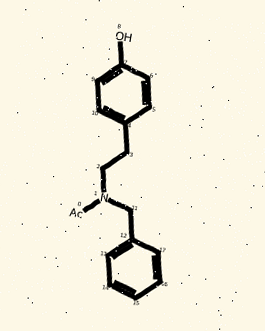 CC(=O)N(CCc1ccc(O)cc1)Cc1ccccc1